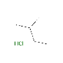 CCC(C)C.Cl